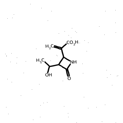 C=C(C(=O)O)C1NC(=O)C1C(C)O